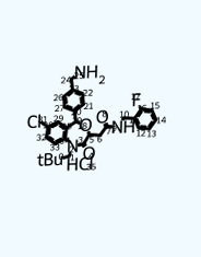 CC(C)(C)CN1C(=O)C(CC(=O)NCc2ccccc2F)OC(c2ccc(CN)cc2)c2cc(Cl)ccc21.Cl